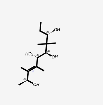 CC[C@H](O)C(C)(C)[C@@H](O)[C@@H](O)/C(C)=C(\C)[C@H](C)O